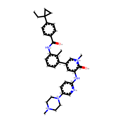 CCC1(c2ccc(C(=O)Nc3cccc(-c4cc(Nc5ccc(N6CCN(C)CC6)cn5)c(=O)n(C)c4)c3C)cc2)CC1